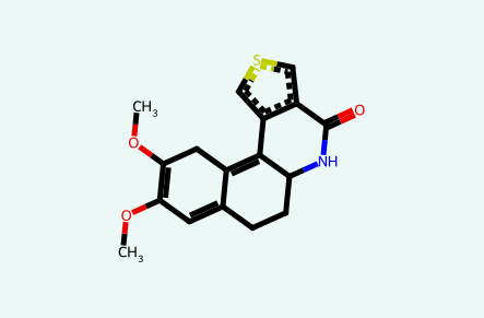 COC1=C(OC)CC2=C3c4cscc4C(=O)NC3CCC2=C1